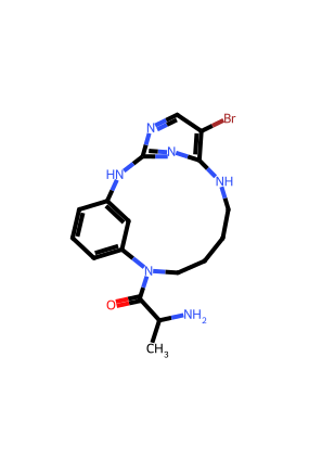 CC(N)C(=O)N1CCCCNc2nc(ncc2Br)Nc2cccc1c2